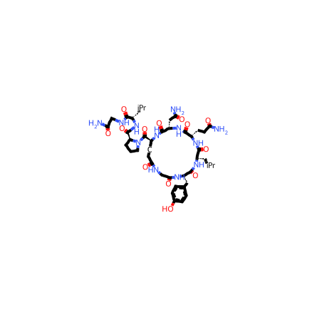 CC(C)C[C@@H]1NC(=O)[C@H](Cc2ccc(O)cc2)NC(=O)CNC(=O)CC[C@@H](C(=O)N2CCC[C@H]2C(=O)N[C@@H](CC(C)C)C(=O)NCC(N)=O)NC(=O)[C@H](CC(N)=O)NC(=O)[C@H](CCC(N)=O)NC1=O